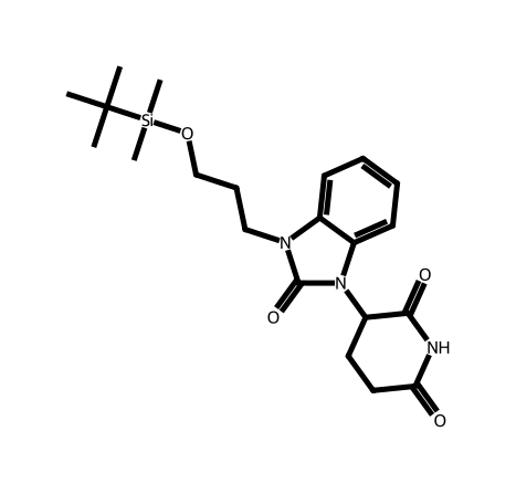 CC(C)(C)[Si](C)(C)OCCCn1c(=O)n(C2CCC(=O)NC2=O)c2ccccc21